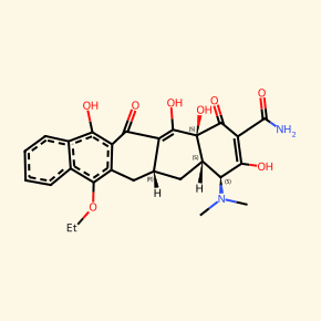 CCOc1c2c(c(O)c3ccccc13)C(=O)C1=C(O)[C@]3(O)C(=O)C(C(N)=O)=C(O)[C@@H](N(C)C)[C@@H]3C[C@@H]1C2